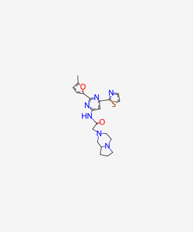 Cc1ccc(-c2nc(NC(=O)CN3CCN4CCCC4C3)cc(-c3nccs3)n2)o1